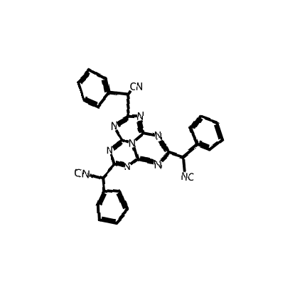 [C-]#[N+]C(C1=NC2=NC(C(C#N)c3ccccc3)=NC3=NC(C([N+]#[C-])c4ccccc4)=NC(=N1)N23)c1ccccc1